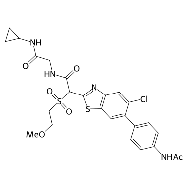 COCCS(=O)(=O)C(C(=O)NCC(=O)NC1CC1)c1nc2cc(Cl)c(-c3ccc(NC(C)=O)cc3)cc2s1